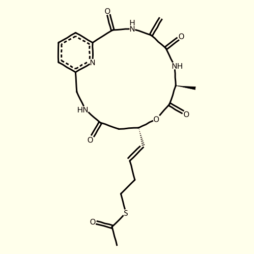 C=C1NC(=O)c2cccc(n2)CNC(=O)C[C@@H](/C=C/CCSC(C)=O)OC(=O)[C@H](C)NC1=O